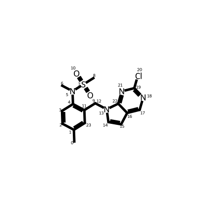 Cc1ccc(N(C)S(C)(=O)=O)c(Cn2ccc3cnc(Cl)nc32)c1